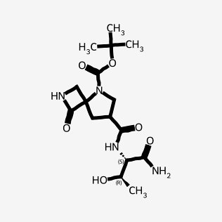 C[C@@H](O)[C@H](NC(=O)C1CN(C(=O)OC(C)(C)C)C2(CNC2=O)C1)C(N)=O